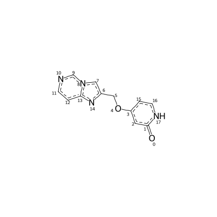 O=c1cc(OCc2cn3cnccc3n2)cc[nH]1